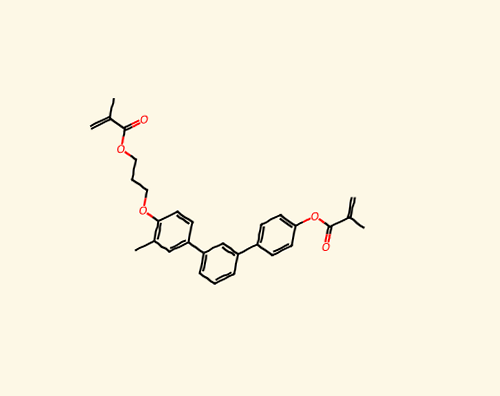 C=C(C)C(=O)OCCCOc1ccc(-c2cccc(-c3ccc(OC(=O)C(=C)C)cc3)c2)cc1C